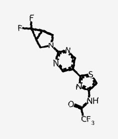 O=C(Nc1csc(-c2cnc(N3CC4C(C3)C4(F)F)nc2)n1)C(F)(F)F